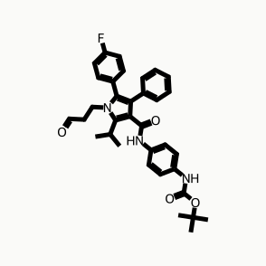 CC(C)c1c(C(=O)Nc2ccc(NC(=O)OC(C)(C)C)cc2)c(-c2ccccc2)c(-c2ccc(F)cc2)n1CCC=O